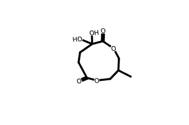 CC1COC(=O)CCC(O)(O)C(=O)OC1